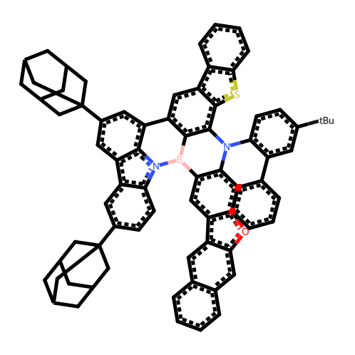 CC(C)(C)c1ccc(N2c3cc4oc5cc6ccccc6cc5c4cc3B3c4c(cc5c(sc6ccccc65)c42)-c2cc(C45CC6CC(CC(C6)C4)C5)cc4c5cc(C67CC8CC(CC(C8)C6)C7)ccc5n3c24)c(-c2ccccc2)c1